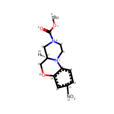 CC(C)(C)OC(=O)N1CCN2c3ccc([N+](=O)[O-])cc3OC[C@H]2C1